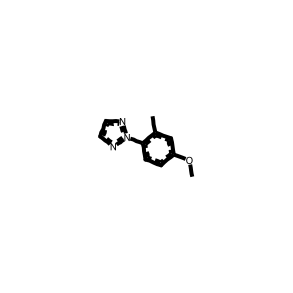 COc1ccc(-n2nccn2)c(C)c1